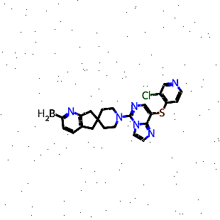 Bc1ccc2c(n1)CC1(CCN(c3ncc(Sc4ccncc4Cl)c4nccn34)CC1)C2